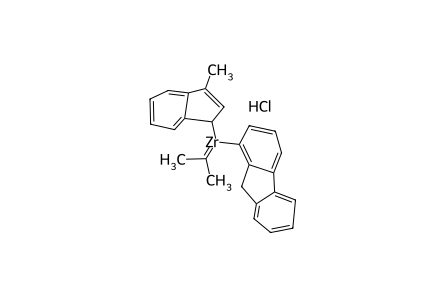 CC1=C[CH]([Zr](=[C](C)C)[c]2cccc3c2Cc2ccccc2-3)c2ccccc21.Cl